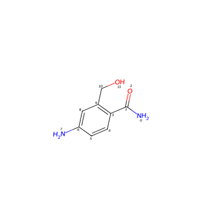 NC(=O)c1ccc(N)cc1CO